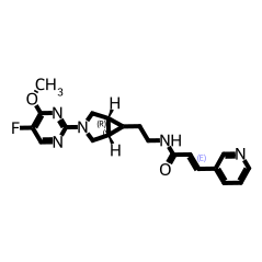 COc1nc(N2C[C@@H]3C(CCNC(=O)/C=C/c4cccnc4)[C@@H]3C2)ncc1F